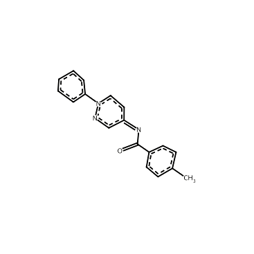 Cc1ccc(C(=O)N=c2ccn(-c3ccccc3)nc2)cc1